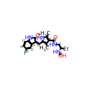 CCC(CNC(=O)c1c(C)[nH]c(/C=C2\C(=O)Nc3ccc(F)cc32)c1C)NO